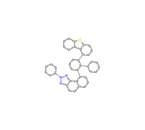 c1ccc(-c2c(-c3cccc4sc5ccccc5c34)cccc2-c2cccc3ccc4nn(-c5ccccc5)nc4c23)cc1